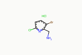 Cl.NCc1nc(Cl)ccc1Br